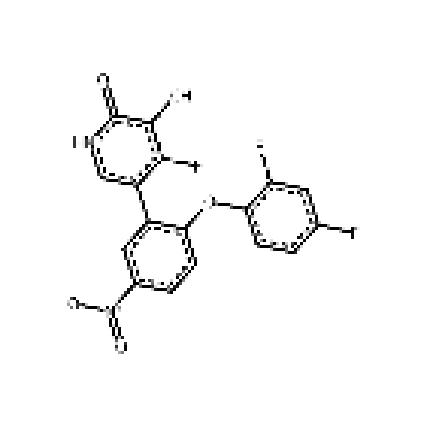 Cc1c(F)c(-c2cc([N+](=O)[O-])ccc2Oc2ccc(F)cc2F)c[nH]c1=O